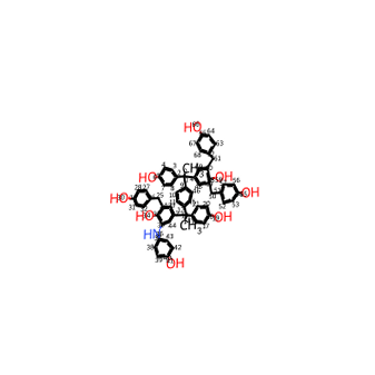 CC(c1ccc(O)cc1)(c1ccc(C(C)(c2ccc(O)cc2)c2cc(Cc3ccc(O)cc3)c(O)c(Nc3ccc(O)cc3)c2)cc1)c1cc(Cc2ccc(O)cc2)c(O)c(Cc2ccc(O)cc2)c1